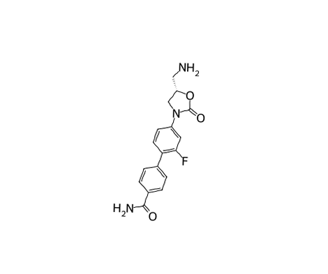 NC[C@H]1CN(c2ccc(-c3ccc(C(N)=O)cc3)c(F)c2)C(=O)O1